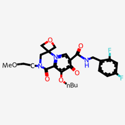 CCCCOc1c2n(cc(C(=O)NCc3ccc(F)cc3F)c1=O)C1(COC1)CN(CCOC)C2=O